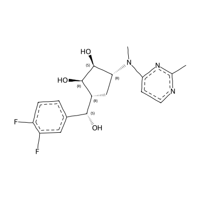 Cc1nccc(N(C)[C@@H]2C[C@H]([C@H](O)c3ccc(F)c(F)c3)[C@@H](O)[C@H]2O)n1